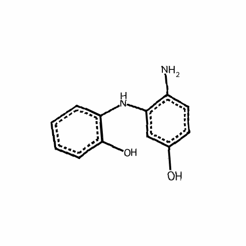 Nc1ccc(O)cc1Nc1ccccc1O